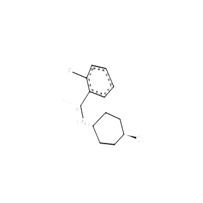 CC[C@H]1CC[C@H](N[C@H](C)c2ccccc2F)CC1